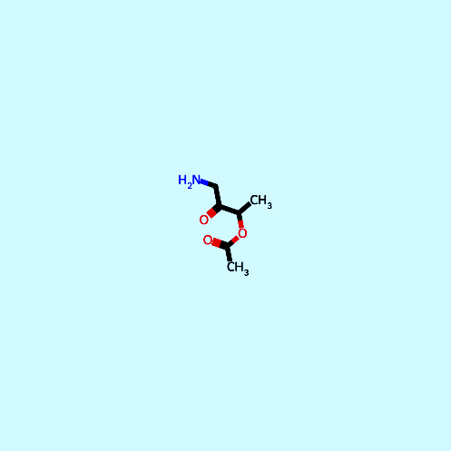 CC(=O)OC(C)C(=O)CN